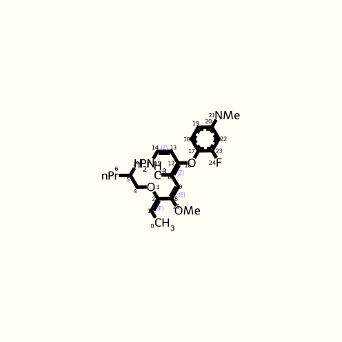 C\C=C(OCC(CCC)CCC)/C(=C\C(C)=C(\C=C/N)Oc1ccc(NC)cc1F)OC